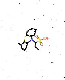 CCC(N1c2ccccc2Sc2c(C)cccc21)S(=O)(=O)O